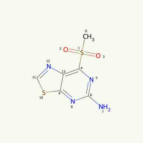 CS(=O)(=O)c1nc(N)nc2scnc12